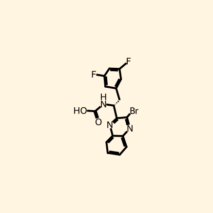 O=C(O)N[C@H](Cc1cc(F)cc(F)c1)c1nc2ccccc2nc1Br